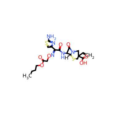 C=CC1(C(=O)O)CS[C@@H]2C(NC(=O)C(=NOCC(=O)OCCCC)c3csc(N)n3)C(=O)N2C1